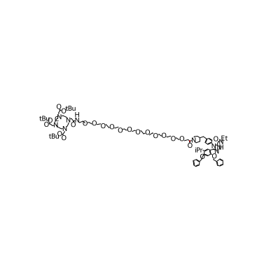 CCNC(=O)c1nnc(-c2cc(C(C)C)c(OCc3ccccc3)cc2OCc2ccccc2)n1-c1ccc(CC2CCN(C(=O)CCOCCOCCOCCOCCOCCOCCOCCOCCOCCOCCOCCOCCNC(=O)CN3CCN(CC(=O)OC(C)(C)C)CCN(CC(=O)OC(C)(C)C)CCN(CC(=O)OC(C)(C)C)CC3)CC2)cc1